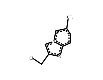 FC(F)(F)c1ccc2nc(CCl)cn2c1